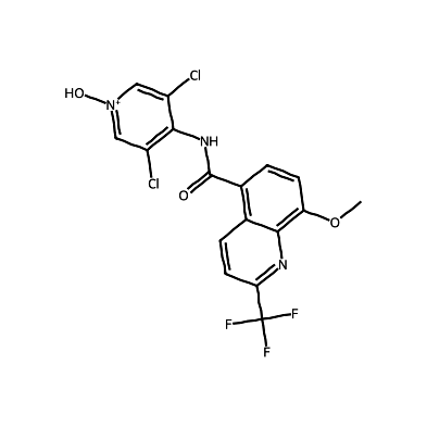 COc1ccc(C(=O)Nc2c(Cl)c[n+](O)cc2Cl)c2ccc(C(F)(F)F)nc12